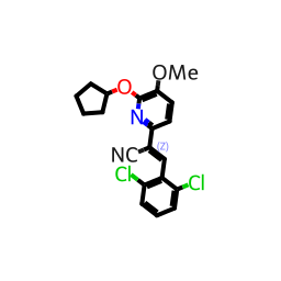 COc1ccc(/C(C#N)=C/c2c(Cl)cccc2Cl)nc1OC1CCCC1